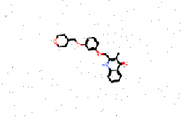 Cc1c(COc2cccc(OCC3CCOCC3)c2)[nH]c2ccccc2c1=O